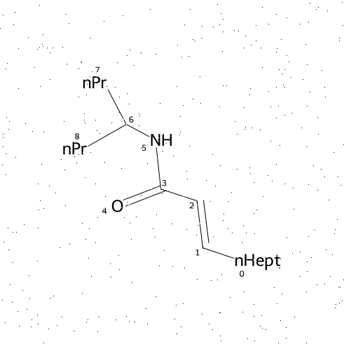 CCCCCCCC=CC(=O)NC(CCC)CCC